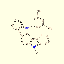 CCn1c2ccccc2c2c1ccc1c3ccccc3n(-c3cc(C)cc(C)c3)c12